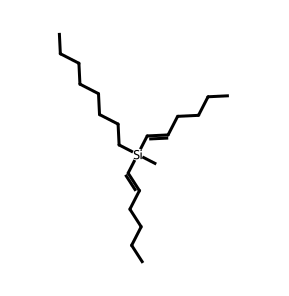 CCCCC=C[Si](C)(C=CCCCC)CCCCCCCC